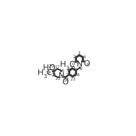 Cc1cccc(=O)n1Cc1ccc(C(=O)N2CCC(C)(O)CC2)cc1